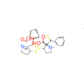 CN1CCC(SSC2CCN(C)[C@@]2(C(=O)O)C(=S)c2ccccc2)[C@]1(C(=O)O)C(=S)c1ccccc1